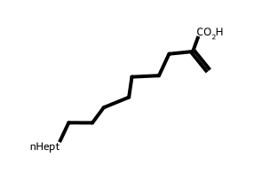 C=C(CCCCCCCCCCCCCC)C(=O)O